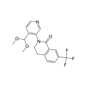 COC(OC)c1ccncc1N1CCc2ccc(C(F)(F)F)cc2C1=O